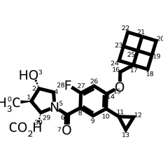 C[C@H]1[C@H](O)CN(C(=O)c2cc(C3CC3)c(OCC34CC5CC6CC(C3)C654)cc2F)[C@@H]1C(=O)O